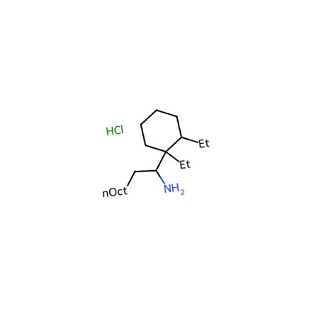 CCCCCCCCCC(N)C1(CC)CCCCC1CC.Cl